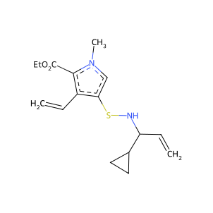 C=Cc1c(SNC(C=C)C2CC2)cn(C)c1C(=O)OCC